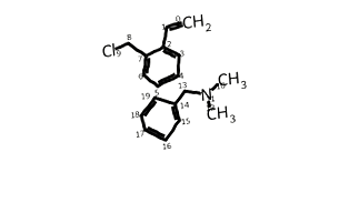 C=Cc1ccccc1CCl.CN(C)Cc1ccccc1